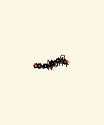 O=C(c1ccc(F)cc1)N1CCC(O)(Cn2cnc3c(cnn3-c3ccc(N4CCC5(CCCCC5)CC4)cc3)c2=O)CC1